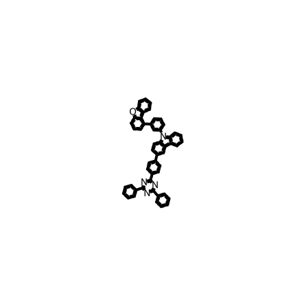 c1ccc(-c2nc(-c3ccccc3)nc(-c3ccc(-c4ccc5c(c4)c4ccccc4n5-c4cccc(-c5cccc6oc7ccccc7c56)c4)cc3)n2)cc1